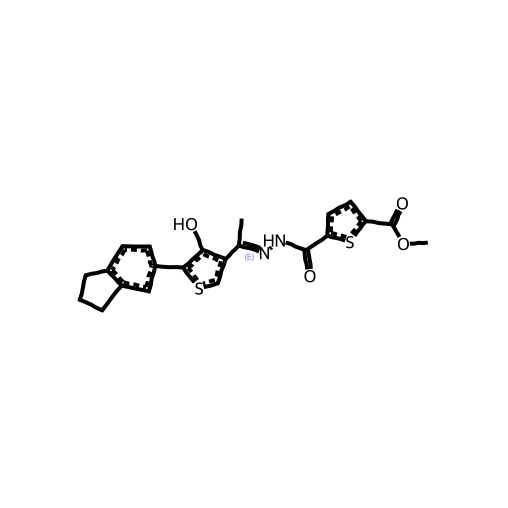 COC(=O)c1ccc(C(=O)N/N=C(\C)c2csc(-c3ccc4c(c3)CCC4)c2O)s1